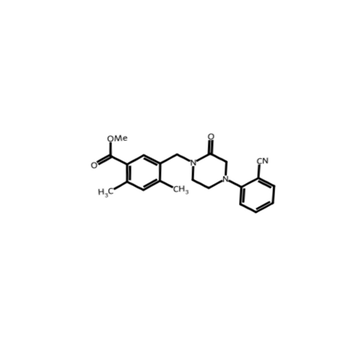 COC(=O)c1cc(CN2CCN(c3ccccc3C#N)CC2=O)c(C)cc1C